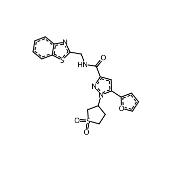 O=C(NCc1nc2ccccc2s1)c1cc(-c2ccco2)n(C2CCS(=O)(=O)C2)n1